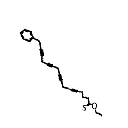 CCOC(=S)CCCC#CCC#CCC#CCC#CCc1ccccc1